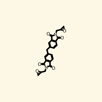 O=C1c2ccc(Cc3ccc4c(c3)C(=O)N(CC3CO3)C4=O)cc2C(=O)N1CC1CO1